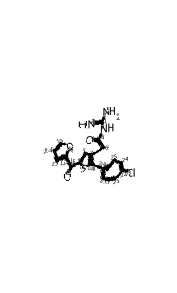 N=C(N)NC(=O)Cc1cc(C(=O)c2ccco2)sc1-c1ccc(Cl)cc1